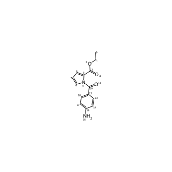 CCOC(=O)c1cccn1C(=O)c1ccc(N)cc1